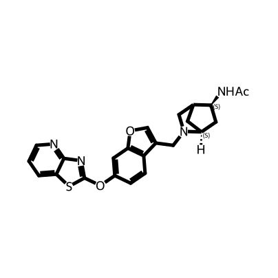 CC(=O)N[C@H]1C[C@@H]2CC1CN2Cc1coc2cc(Oc3nc4ncccc4s3)ccc12